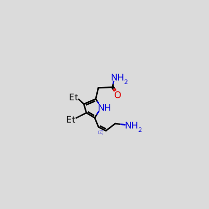 CCc1c(/C=C\CN)[nH]c(CC(N)=O)c1CC